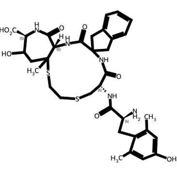 Cc1cc(O)cc(C)c1C[C@H](N)C(=O)N[C@@H]1CSCCSC2(C)CC(O)[C@@H](C(=O)O)NC(=O)[C@@H]2NC(=O)C2(Cc3ccccc3C2)NC1=O